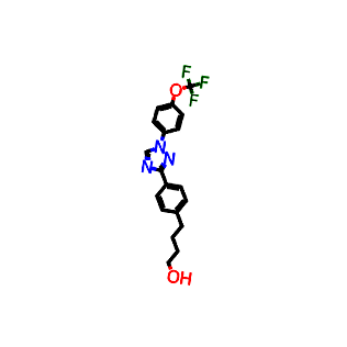 OCCCCc1ccc(-c2ncn(-c3ccc(OC(F)(F)F)cc3)n2)cc1